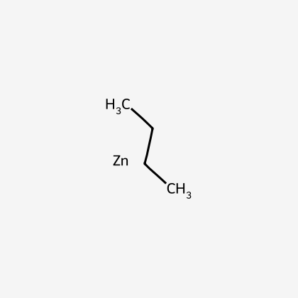 CCCC.[Zn]